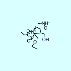 C=[NH+][O-].CCOP(=O)(OCC)C1(C)C(CO)CC=[N+]1[O-]